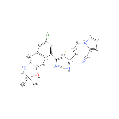 Cc1cc(Cl)cc(-c2ncnc3cc(Cn4cccc4C#N)sc23)c1CC1CNCC(C)(C)O1